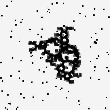 CN[C@H](CC(C)C)C(=O)NC1C(=O)N[C@@H](CC(N)=O)C(=O)N[C@H]2C(=O)N[C@H]3C(=O)N[C@H](C(=O)NC(C(=O)O)c4cc(O)cc(O)c4-c4cc3ccc4O)[C@H](O)c3ccc(c(Cl)c3)Oc3cc2cc(c3OC2CC(CO)C(O)C(O)C2OC2CC(C)(N)C(O)C(C)O2)Oc2ccc(cc2Cl)[C@H]1O